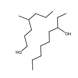 CCCC(C)CCCO.CCCCCCC(O)CC